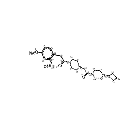 COc1ccc(CC(=O)N2CCN(CC(=O)N3CCN(C4CCC4)CC3)CC2)c(OC)c1